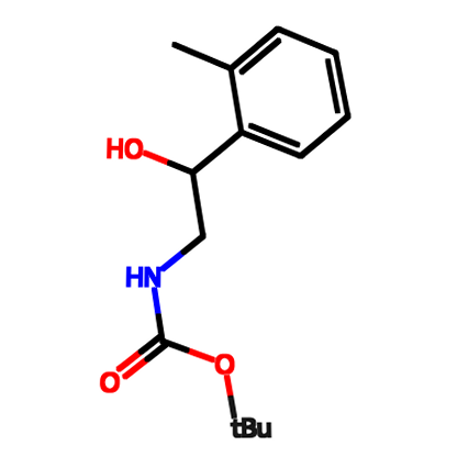 Cc1ccccc1C(O)CNC(=O)OC(C)(C)C